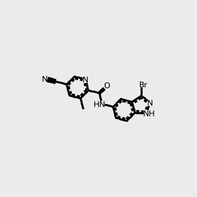 Cc1cc(C#N)cnc1C(=O)Nc1ccc2[nH]nc(Br)c2c1